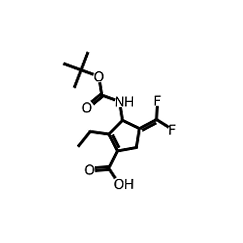 CCC1=C(C(=O)O)CC(=C(F)F)C1NC(=O)OC(C)(C)C